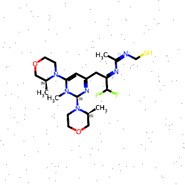 CC(=N/CS)/N=C(\CC1=N[C@@H](N2CCOC[C@@H]2C)N(C)C(N2CCOC[C@@H]2C)=C1)C(F)F